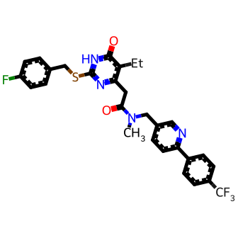 CCc1c(CC(=O)N(C)Cc2ccc(-c3ccc(C(F)(F)F)cc3)nc2)nc(SCc2ccc(F)cc2)[nH]c1=O